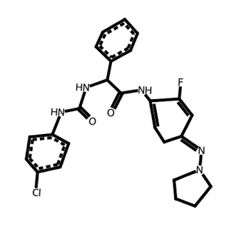 O=C(Nc1ccc(Cl)cc1)NC(C(=O)NC1=CCC(=NN2CCCC2)C=C1F)c1ccccc1